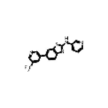 FC(F)(F)c1cncc(-c2ccc3nc(Nc4cccnc4)sc3c2)c1